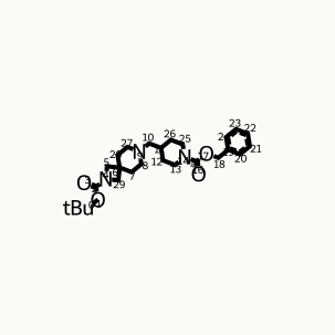 CC(C)(C)OC(=O)N1CC2(CCN(CC3CCN(C(=O)OCc4ccccc4)CC3)CC2)C1